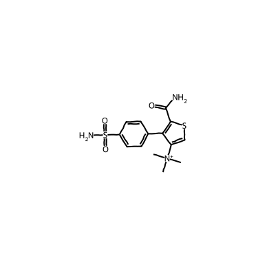 C[N+](C)(C)c1csc(C(N)=O)c1-c1ccc(S(N)(=O)=O)cc1